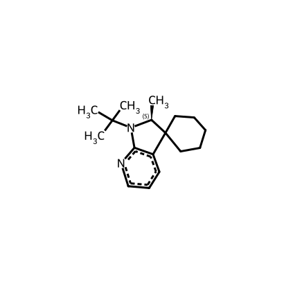 C[C@@H]1N(C(C)(C)C)c2ncccc2C12CCCCC2